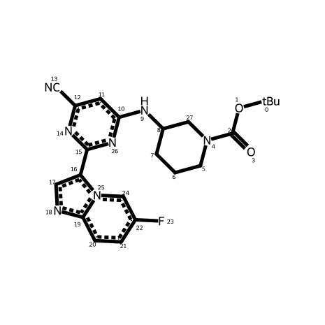 CC(C)(C)OC(=O)N1CCCC(Nc2cc(C#N)nc(-c3cnc4ccc(F)cn34)n2)C1